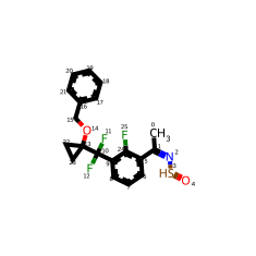 C/C(=N/[SH]=O)c1cccc(C(F)(F)C2(OCc3ccccc3)CC2)c1F